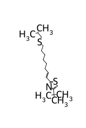 CC(C)CSCCCCCC/C=C/c1nc(C(C)(C)C)cs1